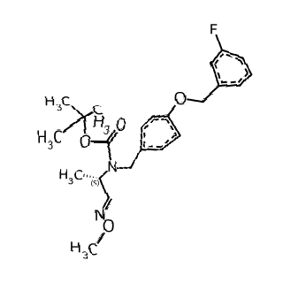 CON=C[C@H](C)N(Cc1ccc(OCc2cccc(F)c2)cc1)C(=O)OC(C)(C)C